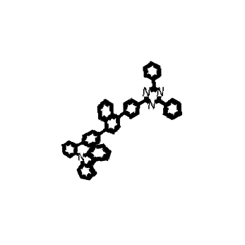 c1ccc(-c2nc(-c3ccccc3)nc(-c3ccc(-c4ccc(-c5ccc(-c6ccccc6-n6c7ccccc7c7ccccc76)cc5)c5ccccc45)cc3)n2)cc1